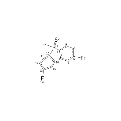 CP(=S)(c1ccc(F)cc1)c1ccc(F)cc1